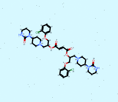 O=C(/C=C/C(=O)OC(COc1ccccc1Cl)CN1CCC(N2CCCNC2=O)CC1)OC(COc1ccccc1Cl)CN1CCC(N2CCCNC2=O)CC1